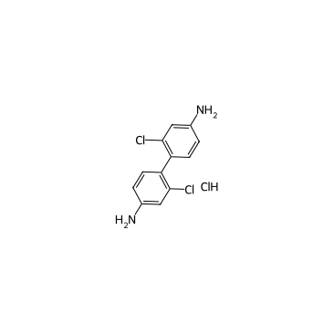 Cl.Nc1ccc(-c2ccc(N)cc2Cl)c(Cl)c1